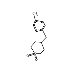 Cc1ccc(CC2CCS(=O)(=O)CC2)cc1